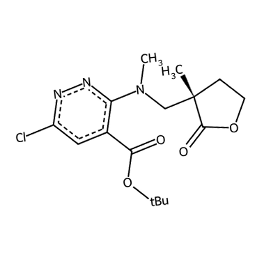 CN(C[C@]1(C)CCOC1=O)c1nnc(Cl)cc1C(=O)OC(C)(C)C